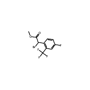 COC(=O)C(Br)c1ccc(F)cc1C(F)(F)F